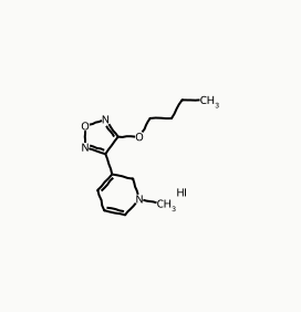 CCCCOc1nonc1C1=CC=CN(C)C1.I